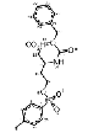 Cc1ccc(S(=O)(=O)OCCC(CC(=O)O)NC(=O)OCc2ccccc2)cc1